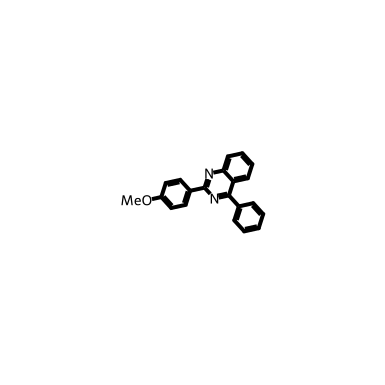 COc1ccc(-c2nc(-c3ccccc3)c3ccccc3n2)cc1